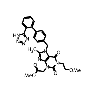 COCCn1c(=O)c2c(nc(C)n2Cc2ccc(-c3ccccc3-c3nnn[nH]3)cc2)n(CC(=O)OC)c1=O